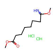 COC(=N)CCCCCCC(=O)OC.Cl.Cl